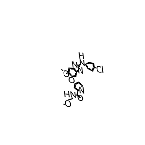 COCCNC(=O)c1cc(Oc2cc3nc(Nc4ccc(Cl)cc4)n(C)c3cc2OC)ccn1